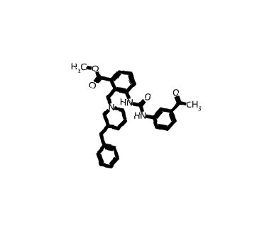 COC(=O)c1cccc(NC(=O)Nc2cccc(C(C)=O)c2)c1CN1CCCC(Cc2ccccc2)C1